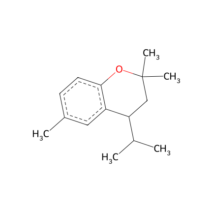 Cc1ccc2c(c1)C(C(C)C)CC(C)(C)O2